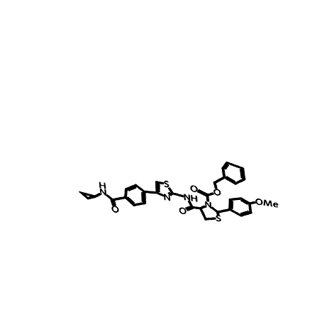 COc1ccc(C2SCC(C(=O)Nc3nc(-c4ccc(C(=O)NC5CC5)cc4)cs3)N2C(=O)OCc2ccccc2)cc1